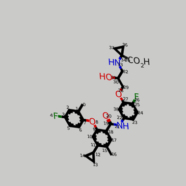 Cc1cc(F)ccc1Oc1cc(C2CC2)c(C)cc1C(=O)Nc1ccc(F)c(OCC(O)CNC2(C(=O)O)CC2)c1